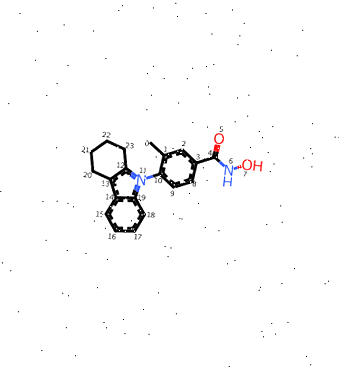 Cc1cc(C(=O)NO)ccc1-n1c2c(c3ccccc31)CCCC2